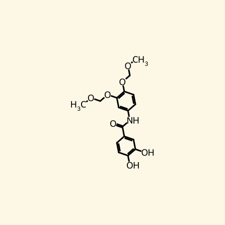 COCOc1ccc(NC(=O)c2ccc(O)c(O)c2)cc1OCOC